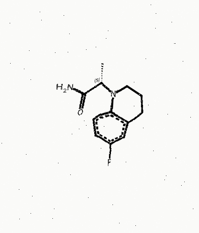 C[C@@H](C(N)=O)N1CCCc2cc(F)ccc21